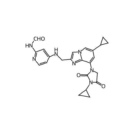 O=CNc1cc(NCc2cn3cc(C4CC4)cc(N4CC(=O)N(C5CC5)C4=O)c3n2)ccn1